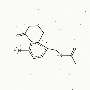 CC(=O)NCc1ccc(N)c2c1CCCC2=O